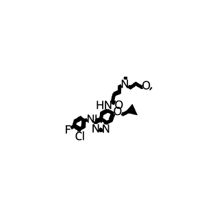 COCCCN(C)C/C=C/C(=O)Nc1cc2c(Nc3ccc(F)c(Cl)c3)ncnc2cc1OCC1CC1